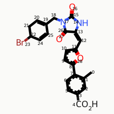 Cc1cc(C(=O)O)ccc1-c1ccc(/C=C2/NC(=O)N(CC3=CCC(Br)C=C3)C2=O)o1